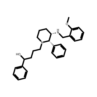 COc1ccccc1CN[C@H]1CCCN(CCCC(O)c2ccccc2)[C@H]1c1ccccc1